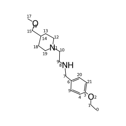 CCOc1ccc(CNCCN2CCC(COC)CC2)cc1